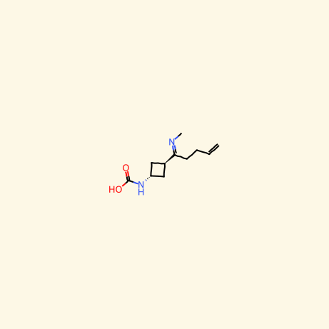 C=CCCC(=NC)[C@H]1C[C@H](NC(=O)O)C1